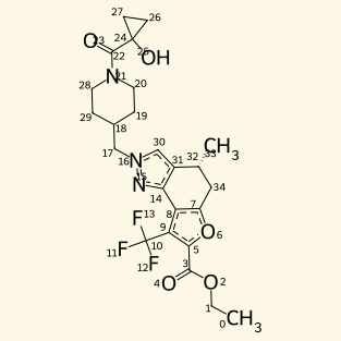 CCOC(=O)c1oc2c(c1C(F)(F)F)-c1nn(CC3CCN(C(=O)C4(O)CC4)CC3)cc1[C@H](C)C2